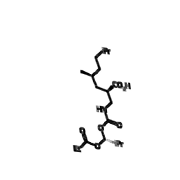 CCC(=O)O[C@H](OC(=O)NC[C@@H](C[C@@H](C)CCC(C)C)C(=O)O)C(C)C